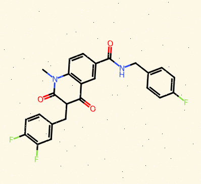 CN1C(=O)C(Cc2ccc(F)c(F)c2)C(=O)c2cc(C(=O)NCc3ccc(F)cc3)ccc21